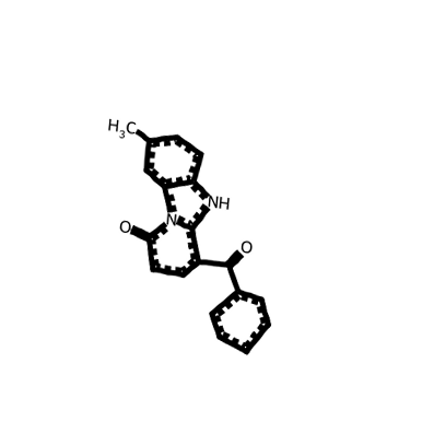 Cc1ccc2[nH]c3c(C(=O)c4ccccc4)ccc(=O)n3c2c1